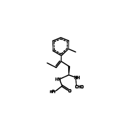 C/C=C(/C[C@@H](NC=O)NC(=O)CCC)c1ccccc1C